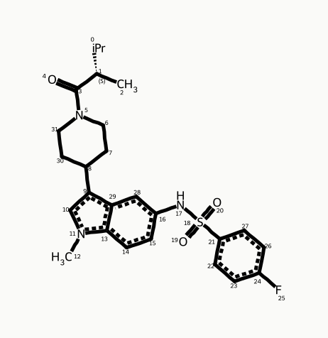 CC(C)[C@H](C)C(=O)N1CCC(c2cn(C)c3ccc(NS(=O)(=O)c4ccc(F)cc4)cc23)CC1